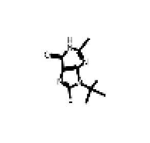 Cc1nc2c(nc(F)n2C(C)(C)C)c(=O)[nH]1